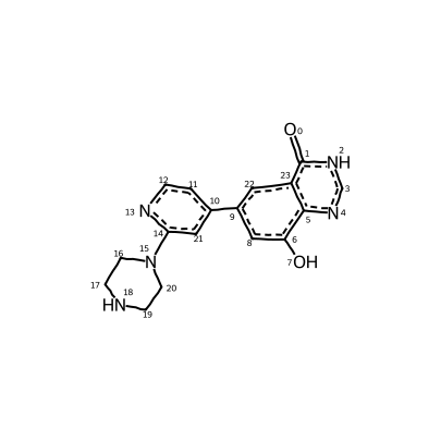 O=c1[nH]cnc2c(O)cc(-c3ccnc(N4CCNCC4)c3)cc12